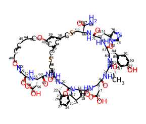 CC[C@@H]1NC(=O)[C@H](CC(=O)O)NC(=O)[C@@H]2CCCN2C(=O)[C@H](Cc2ccccc2)NC(=O)[C@@H]2CSCc3cc(cc(c3)OCCCCCCO/N=C/C(=O)N[C@@H](CC(=O)O)C(=O)N2)CSC[C@@H](C(N)=O)NC(=O)[C@H](Cc2cnc[nH]2)NC(=O)[C@H](Cc2ccc(O)cc2)NC1=O